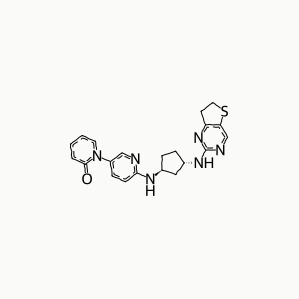 O=c1ccccn1-c1ccc(N[C@H]2CC[C@H](Nc3ncc4c(n3)CCS4)C2)nc1